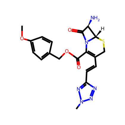 COc1ccc(COC(=O)C2=C(C=Cc3nnn(C)n3)CS[C@H]3[C@H](N)C(=O)N23)cc1